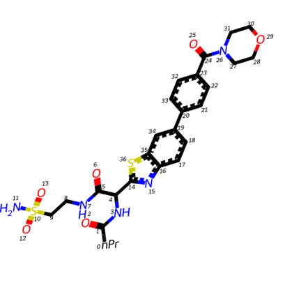 CCCC(=O)NC(C(=O)NCCS(N)(=O)=O)c1nc2ccc(-c3ccc(C(=O)N4CCOCC4)cc3)cc2s1